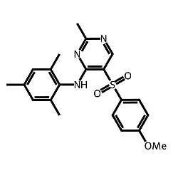 COc1ccc(S(=O)(=O)c2cnc(C)nc2Nc2c(C)cc(C)cc2C)cc1